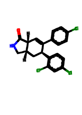 O=C1NC[C@H]2C[C@H](c3ccc(Cl)cc3Cl)C(c3ccc(Cl)cc3)=C[C@@H]12